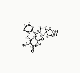 CC(C)c1c(Sc2ccccc2)n(CC2=CCC(CO)(CO)C2)c(=O)[nH]c1=O